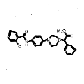 COC(=O)C(c1ccccc1)N1CCN(c2ccc(NC(=O)c3ccccc3Cl)cc2)CC1